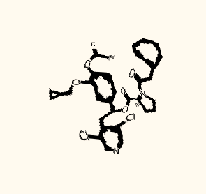 O=C(OC(Cc1c(Cl)cncc1Cl)c1ccc(OC(F)F)c(OCC2CC2)c1)[C@@H]1CCCN1C(=O)Cc1ccccc1